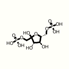 O=P(O)(O)OC[C@H]1OC(O)(COP(=O)(O)O)[C@@H](O)[C@@H]1O